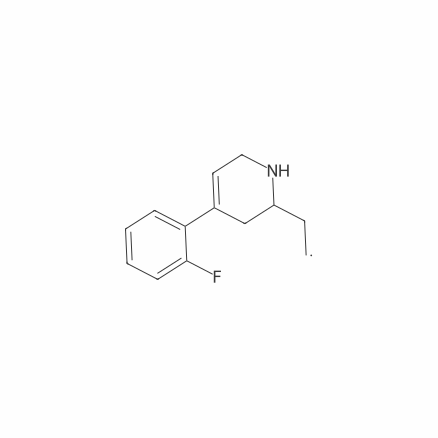 [CH2]CC1CC(c2ccccc2F)=CCN1